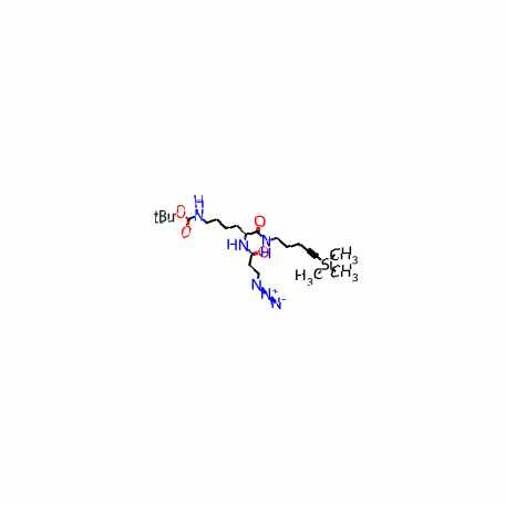 CC(C)(C)OC(=O)NCCCC[C@H](NC(=O)CCN=[N+]=[N-])C(=O)NCCCC#C[Si](C)(C)C